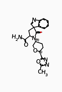 Cc1nnc([C@@H]2CC[C@@H](N3C(C(N)=O)CC4(C=Nc5ccccc54)C34CCCCC4)CO2)o1